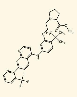 COC(=O)[C@@H]1CCCN1CCOc1cc(Nc2ncnc3cc(-c4ncccc4C(F)(F)F)ccc23)ccc1C(C)(C)C